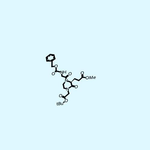 COC(=O)CC[C@H]1C(=O)N(CC(=O)OC(C)(C)C)CCN1C(=O)CNC(=O)OCc1ccccc1